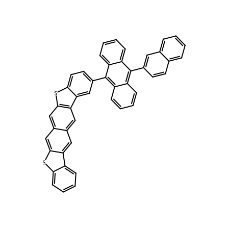 c1ccc2cc(-c3c4ccccc4c(-c4ccc5sc6cc7cc8sc9ccccc9c8cc7cc6c5c4)c4ccccc34)ccc2c1